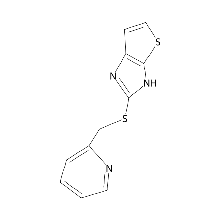 c1ccc(CSc2nc3ccsc3[nH]2)nc1